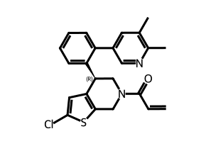 C=CC(=O)N1Cc2sc(Cl)cc2[C@@H](c2ccccc2-c2cnc(C)c(C)c2)C1